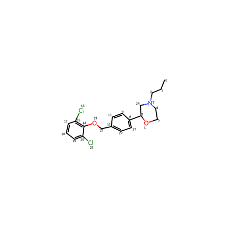 CCCN1CCOC(c2ccc(COc3c(Cl)cccc3Cl)cc2)C1